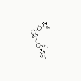 CCCCC(O)c1ccc([C@H]2CCCn3nc(/C=C/c4ccc(-n5cnc(C)c5)c(C)c4)nc32)cn1